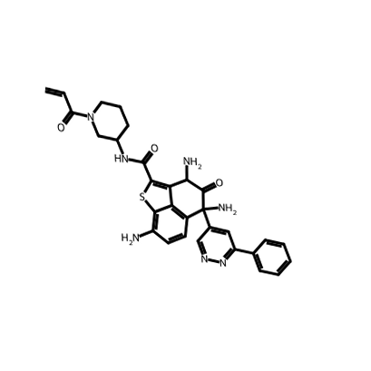 C=CC(=O)N1CCCC(NC(=O)c2sc3c(N)ccc4c3c2C(N)C(=O)C4(N)c2cnnc(-c3ccccc3)c2)C1